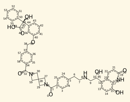 O=C(c1ccc(CCNC[C@H](O)c2ccc(O)c3[nH]c(=O)ccc23)cc1)N1CC2(C1)CN(C(=O)c1ccc(COc3cccc([C@](O)(C(=O)O)c4ccccc4)c3)cc1)C2